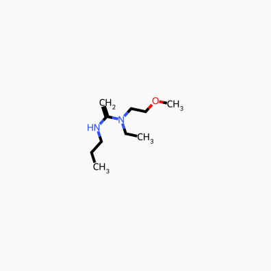 C=C(NCCC)N(CC)CCOC